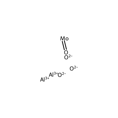 [Al+3].[Al+3].[O-2].[O-2].[O-2].[O]=[Mo]